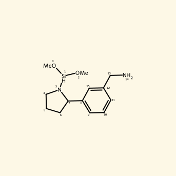 CO[SiH](OC)N1CCCC1c1cccc(CN)c1